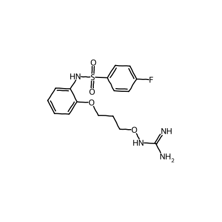 N=C(N)NOCCCOc1ccccc1NS(=O)(=O)c1ccc(F)cc1